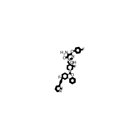 Nc1c(Oc2ccc(F)cc2)ncn(C[C@@]2(O)CCN(C(=O)[C@@H]3CC[C@](F)(C#Cc4cccnn4)C[C@H]3c3ccccc3)CC2(F)F)c1=O